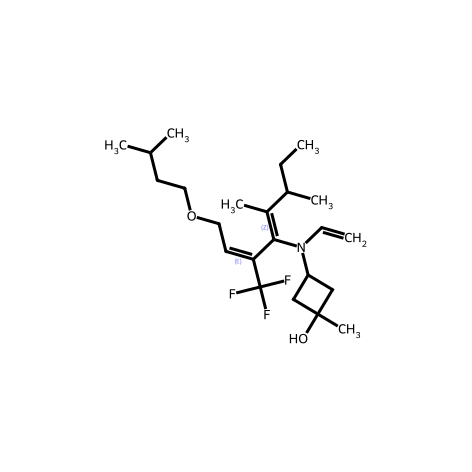 C=CN(C(=C(/C)C(C)CC)/C(=C\COCCC(C)C)C(F)(F)F)C1CC(C)(O)C1